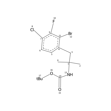 CC(C)(Cc1ccc(Cl)c(F)c1Br)NC(=O)OC(C)(C)C